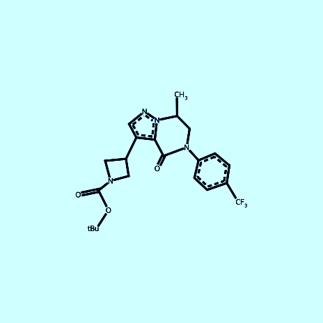 CC1CN(c2ccc(C(F)(F)F)cc2)C(=O)c2c(C3CN(C(=O)OC(C)(C)C)C3)cnn21